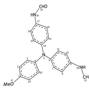 COc1ccc(N(c2ccc(NC=O)cc2)c2ccc(NC=O)cc2)cc1